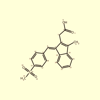 CC1=C(CC(=O)O)/C(=C/c2ccc(S(C)(=O)=O)cc2)c2ccccc21